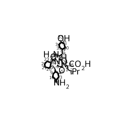 CC(C)C[C@H](NC(=O)[C@H](Cc1ccc(N)cc1)N(C(=O)c1ccccc1)C(=O)[C@@H](N)Cc1ccc(O)cc1)C(=O)O